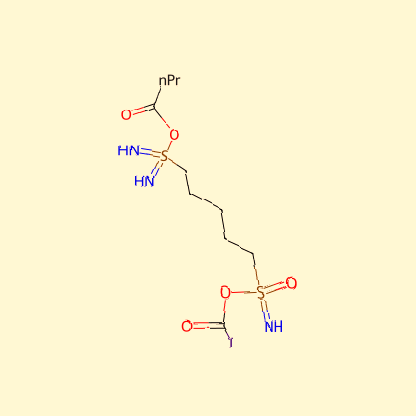 CCCC(=O)OS(=N)(=N)CCCCCS(=N)(=O)OC(=O)I